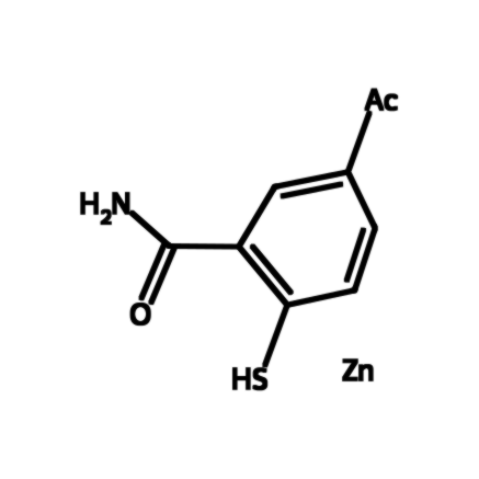 CC(=O)c1ccc(S)c(C(N)=O)c1.[Zn]